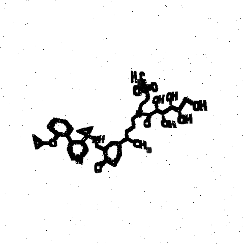 CC(CCCN(CCS(C)(=O)=O)C(=O)[C@@H](O)[C@@H](O)[C@H](O)[C@@H](O)CO)c1ccc(Cl)c(CNC2(c3cnccc3-c3ccccc3OC3CC3)CC2)c1